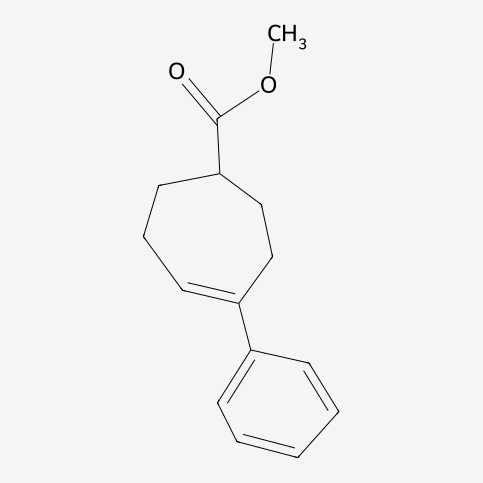 COC(=O)C1CCC=C(c2ccccc2)CC1